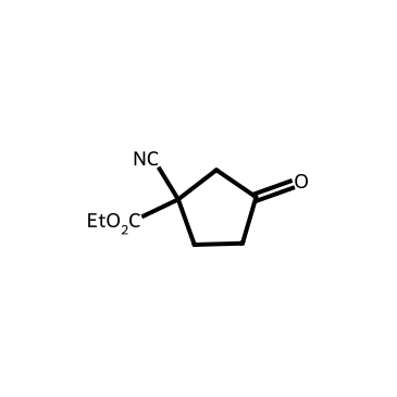 CCOC(=O)C1(C#N)CCC(=O)C1